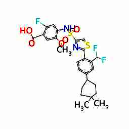 COc1cc(C(=O)O)c(F)cc1NS(=O)(=O)c1csc(-c2ccc(C3CCC(C)(C)CC3)cc2C(F)F)n1